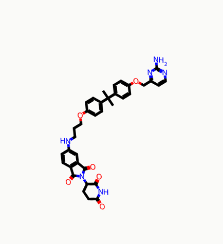 CC(C)(c1ccc(OCCCNc2ccc3c(c2)C(=O)N(C2CCC(=O)NC2=O)C3=O)cc1)c1ccc(OCc2ccnc(N)n2)cc1